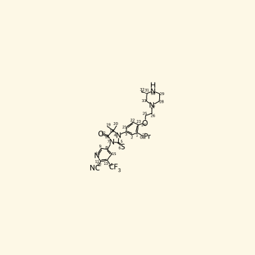 CC(C)c1cc(N2C(=S)N(c3cnc(C#N)c(C(F)(F)F)c3)C(=O)C2(C)C)ccc1OCCN1CCN[C@H](C)C1